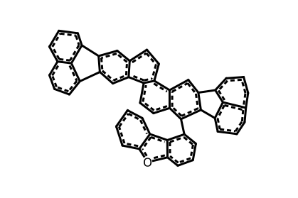 c1cc2c3c(cccc3c1)-c1cc3c(ccc4c5cc6c(c(-c7cccc8oc9ccccc9c78)c5ccc34)-c3cccc4cccc-6c34)cc1-2